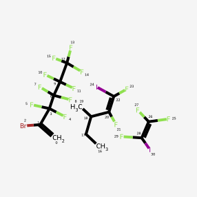 C=C(Br)C(F)(F)C(F)(F)C(F)(F)C(F)(F)F.CCC(C)C(F)=C(F)I.FC(F)=C(F)I